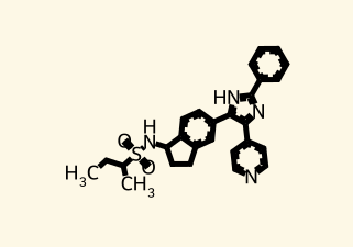 CCC(C)S(=O)(=O)NC1CCc2cc(-c3[nH]c(-c4ccccc4)nc3-c3ccncc3)ccc21